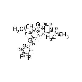 CC(C)Cc1cc(C(=O)N2CCN(CC(C)C)CC2)ccc1OCc1ccc(F)c(F)c1